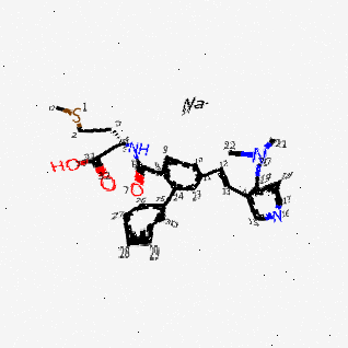 CSCC[C@H](NC(=O)c1ccc(C=Cc2cnccc2N(C)C)cc1-c1ccccc1)C(=O)O.[Na]